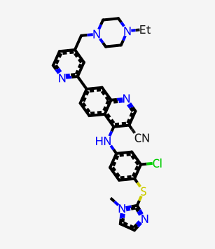 CCN1CCN(Cc2ccnc(-c3ccc4c(Nc5ccc(Sc6nccn6C)c(Cl)c5)c(C#N)cnc4c3)c2)CC1